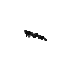 CCCc1ccc(OCC2CCC3CC(COc4ccc(OCC)c(F)c4F)CCC3C2)cc1